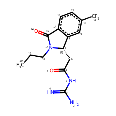 N=C(N)NC(=O)C[C@H]1c2cc(C(F)(F)F)ccc2C(=O)N1CCC(F)(F)F